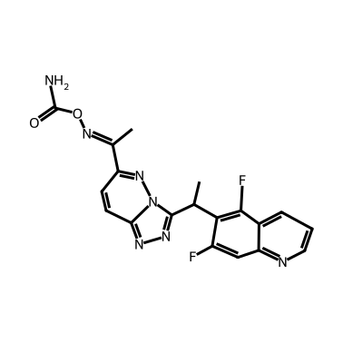 CC(=NOC(N)=O)c1ccc2nnc(C(C)c3c(F)cc4ncccc4c3F)n2n1